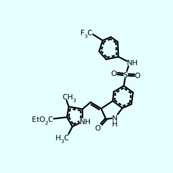 CCOC(=O)c1c(C)[nH]c(C=C2C(=O)Nc3ccc(S(=O)(=O)Nc4ccc(C(F)(F)F)cc4)cc32)c1C